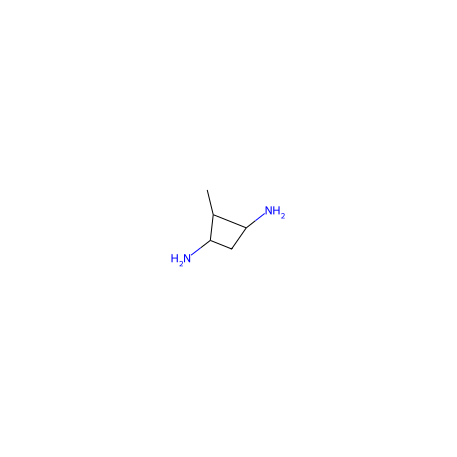 CC1C(N)CC1N